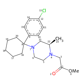 COC(=O)CN1CCN(C2(c3ccc(Cl)cc3)CCCCC2)C[C@H]1C